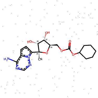 N#C[C@@]1(c2ccc3c(N)ncnn23)O[C@H](COC(=O)OC2CCCCC2)[C@@H](O)[C@H]1O